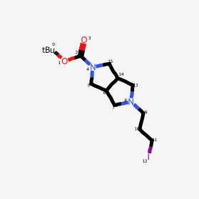 CC(C)(C)OC(=O)N1CC2CN(CCCI)CC2C1